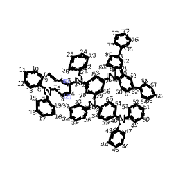 C=C/C=C(\C=C/CN(c1ccccc1)c1ccccc1)N(c1ccccc1)c1cc(N(c2ccccc2)c2ccc(N(c3ccccc3)c3ccccc3)cc2)cc(-n2c3ccc(-c4ccccc4)cc3c3cc(-c4ccccc4)ccc32)c1